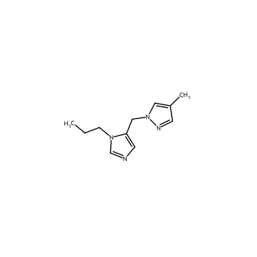 CCCn1cncc1Cn1cc(C)cn1